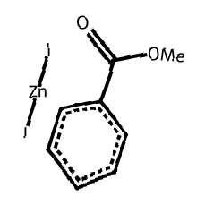 [CH2]OC(=O)c1ccccc1.[I][Zn][I]